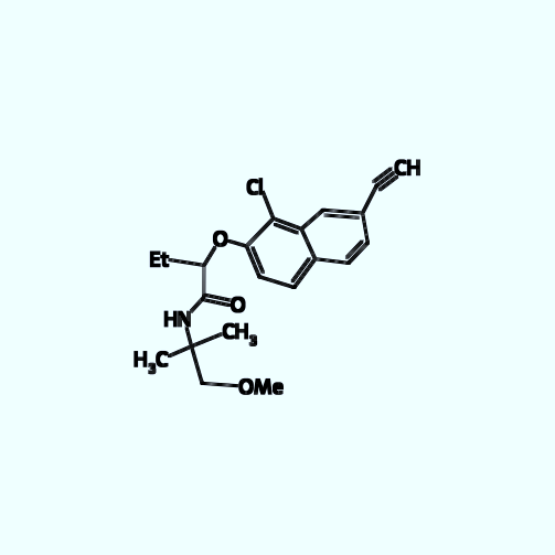 C#Cc1ccc2ccc(OC(CC)C(=O)NC(C)(C)COC)c(Cl)c2c1